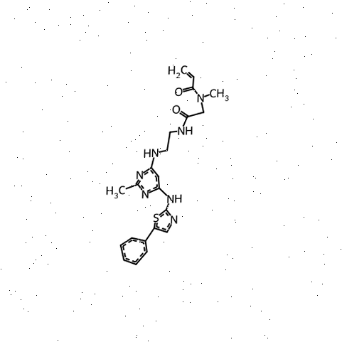 C=CC(=O)N(C)CC(=O)NCCNc1cc(Nc2ncc(-c3ccccc3)s2)nc(C)n1